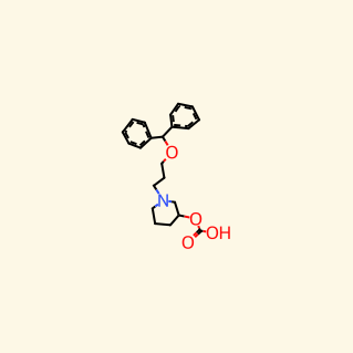 O=C(O)OC1CCCN(CCCOC(c2ccccc2)c2ccccc2)C1